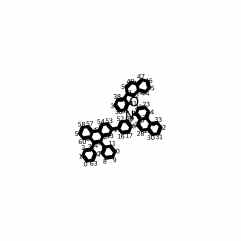 c1ccc(-c2c(-c3ccccc3)c3cc(-c4cccc(N(c5cccc6c5ccc5ccccc56)c5cccc6c5oc5c7ccccc7ccc65)c4)ccc3c3ccccc23)cc1